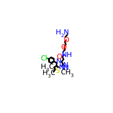 Cc1sc2c(c1C)C(c1ccc(Cl)cc1)=NC(CC(=O)NCCOCCOCCN)c1nnc(C)n1-2